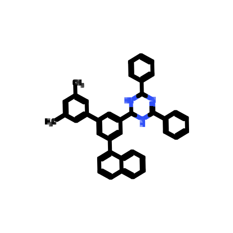 Cc1cc(C)cc(-c2cc(-c3cccc4ccccc34)cc(C3NC(c4ccccc4)=NC(c4ccccc4)N3)c2)c1